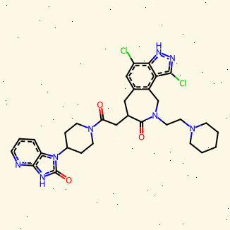 O=C(CC1Cc2cc(Cl)c3[nH]nc(Cl)c3c2CN(CCN2CCCCC2)C1=O)N1CCC(n2c(=O)[nH]c3ncccc32)CC1